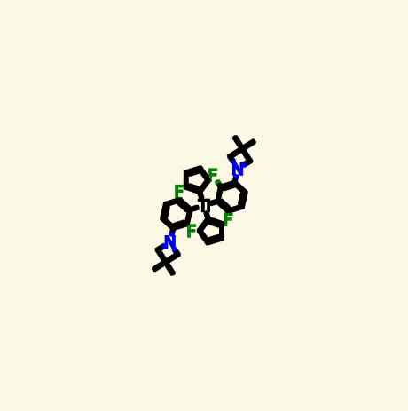 CC1(C)CN(c2ccc(F)[c]([Ti]([C]3=CC=CC3)([C]3=CC=CC3)[c]3c(F)ccc(N4CC(C)(C)C4)c3F)c2F)C1